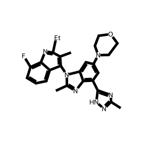 CCc1nc2c(F)cccc2c(-n2c(C)nc3c(-c4nc(C)n[nH]4)cc(N4CCOCC4)cc32)c1C